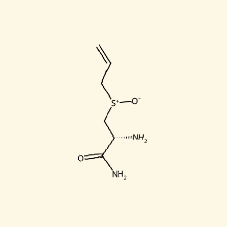 C=CC[S+]([O-])C[C@H](N)C(N)=O